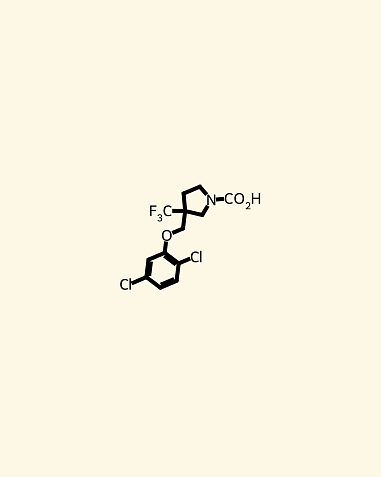 O=C(O)N1CCC(COc2cc(Cl)ccc2Cl)(C(F)(F)F)C1